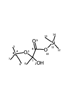 CC(O)(O[Si](C)(C)C)C(=O)O[Si](C)(C)C